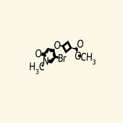 COC(=O)[C@H]1C[C@@H](Oc2cc(=O)n(C)cc2Br)C1